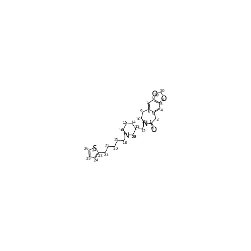 O=C1Cc2cc3c(cc2CCN1CC1CCCN(CCCCCc2cccs2)C1)OCO3